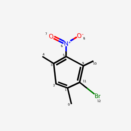 Cc1cc(C)c([N+](=O)[O-])c(C)c1Br